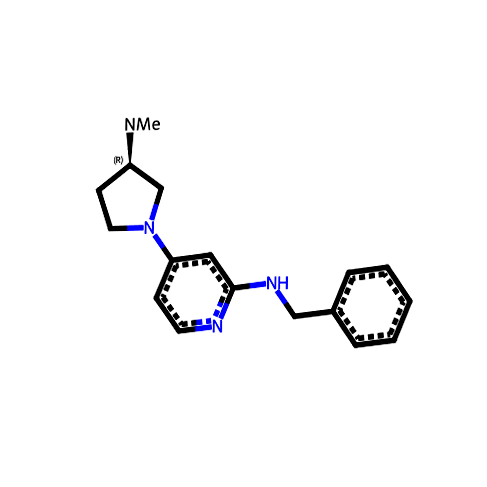 CN[C@@H]1CCN(c2ccnc(NCc3ccccc3)c2)C1